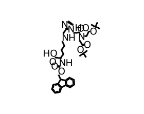 CC(C)(C)OC(=O)CN(CC(O)OC(C)(C)C)C(=O)Cn1ccnc1CNCCCCC(NC(=O)OCC1c2ccccc2-c2ccccc21)C(=O)O